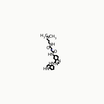 CN(C)CCCNC(=O)/C=C/C(=O)Nc1ccc2ncnc(Nc3cccc4[nH]ccc34)c2c1